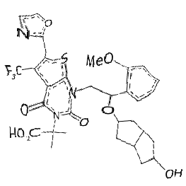 COc1ccccc1C(Cn1c(=O)n(C(C)(C)C(=O)O)c(=O)c2c(C(F)(F)F)c(-c3ncco3)sc21)OC1CC2CC(O)CC2C1